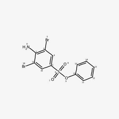 Nc1c(Br)cc(S(=O)(=O)Oc2ccccc2)cc1Br